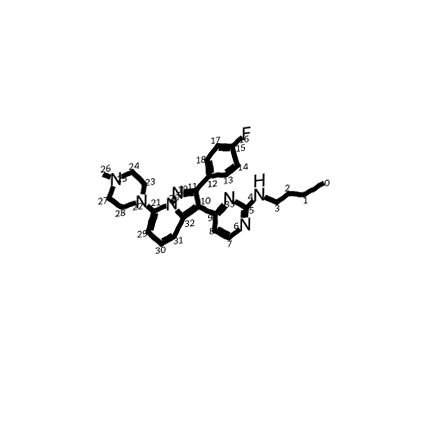 CCCCNc1nccc(-c2c(-c3ccc(F)cc3)nn3c(N4CCN(C)CC4)cccc23)n1